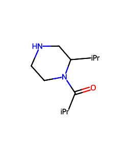 CC(C)C(=O)N1CCNCC1C(C)C